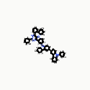 c1ccc(-c2nc(-c3ccccc3)c3c(n2)c2cc(-n4c5ccccc5c5cc(-c6ccc7c(c6)c6ccccc6n7-c6ccccc6)ccc54)ccc2n3-c2ccccc2)cc1